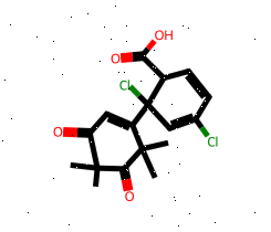 CC1(C)C(=O)C=C(C2(Cl)C=C(Cl)C=CC2C(=O)O)C(C)(C)C1=O